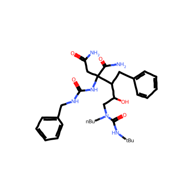 CCCCN(CC(O)C(Cc1ccccc1)C(CC(N)=O)(NC(=O)NCc1ccccc1)C(N)=O)C(=O)NC(C)(C)C